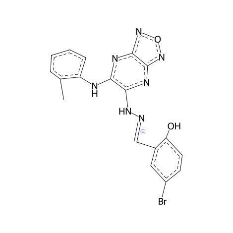 Cc1ccccc1Nc1nc2nonc2nc1N/N=C/c1cc(Br)ccc1O